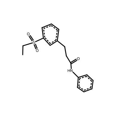 CCS(=O)(=O)c1cccc(CCC(=O)Nc2ccccc2)c1